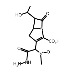 CC(O)C1C(=O)N2C(C(=O)O)=C(C(C(=O)NN)[S+](C)[O-])CC12